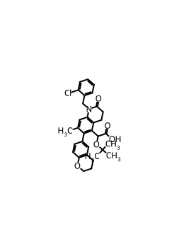 Cc1cc2c(c(C(OC(C)(C)C)C(=O)O)c1-c1ccc3c(c1)CCCO3)CCC(=O)N2Cc1ccccc1Cl